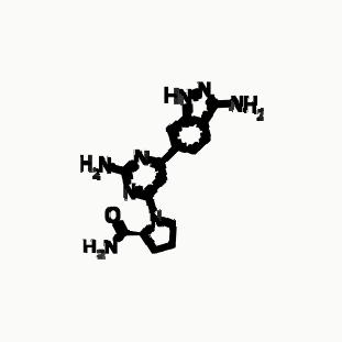 NC(=O)[C@@H]1CCCN1c1cc(-c2ccc3c(N)n[nH]c3c2)nc(N)n1